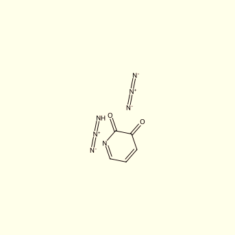 O=C1C=CC=NC1=O.[N-]=[N+]=N.[N-]=[N+]=[N-]